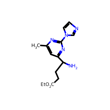 CCOC(=O)CCC(N)c1cc(C)nc(-n2ccnc2)n1